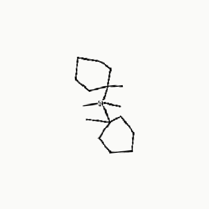 CC1([Si](C)(C)C2(C)CCCCC2)CCCCC1